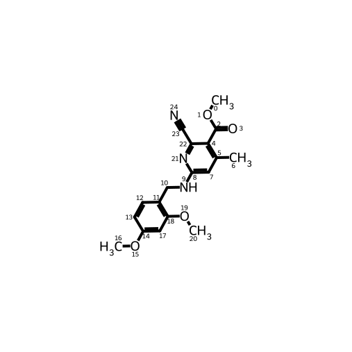 COC(=O)c1c(C)cc(NCc2ccc(OC)cc2OC)nc1C#N